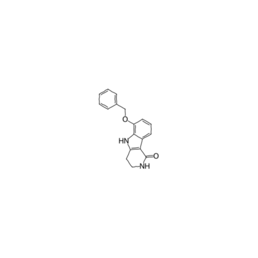 O=C1NCCc2[nH]c3c(OCc4ccccc4)cccc3c21